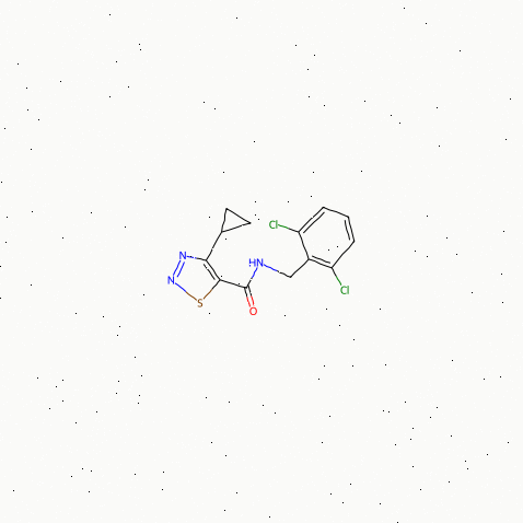 O=C(NCc1c(Cl)cccc1Cl)c1snnc1C1CC1